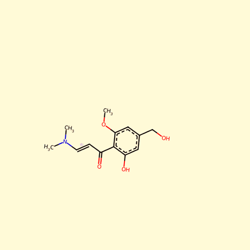 COc1cc(CO)cc(O)c1C(=O)/C=C/N(C)C